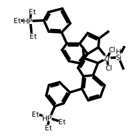 CC[PH](CC)(CC)c1cccc(-c2cccc3c2C=C(C)[CH]3[Zr]([Cl])([Cl])([CH]2C(C)=Cc3c(-c4cccc([PH](CC)(CC)CC)c4)cccc32)[SiH](C)C)c1